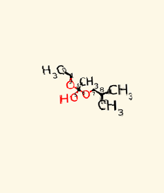 CCOC(C)(O)OCC(C)C